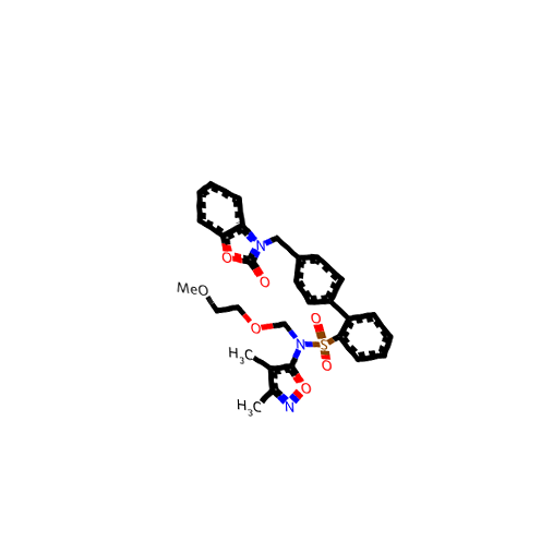 COCCOCN(c1onc(C)c1C)S(=O)(=O)c1ccccc1-c1ccc(Cn2c(=O)oc3ccccc32)cc1